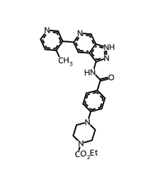 CCOC(=O)N1CCN(c2ccc(C(=O)Nc3n[nH]c4cnc(-c5cnccc5C)cc34)cc2)CC1